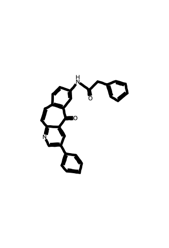 O=C(Cc1ccccc1)Nc1ccc2ccc3ncc(-c4ccccc4)cc3c(=O)c2c1